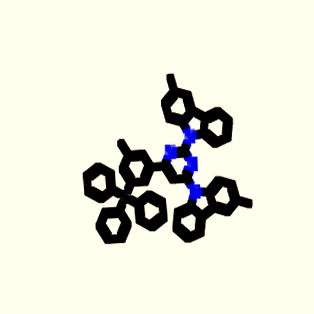 Cc1cc(-c2cc(-n3c4ccccc4c4cc(C)ccc43)nc(-n3c4ccccc4c4cc(C)ccc43)n2)cc([Si](c2ccccc2)(c2ccccc2)c2ccccc2)c1